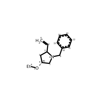 C=CC1C[C@@H](OCC)CN1Cc1ccccc1